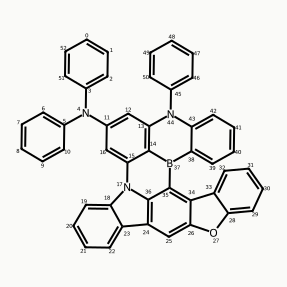 c1ccc(N(c2ccccc2)c2cc3c4c(c2)-n2c5ccccc5c5cc6oc7ccccc7c6c(c52)B4c2ccccc2N3c2ccccc2)cc1